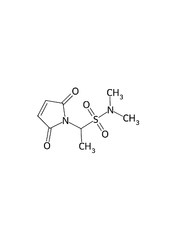 CC(N1C(=O)C=CC1=O)S(=O)(=O)N(C)C